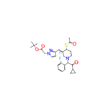 CC(=O)SC1CCN(C(C(=O)C2CC2)c2ccccc2F)C/C1=C\c1ccn(CC(=O)OC(C)(C)C)n1